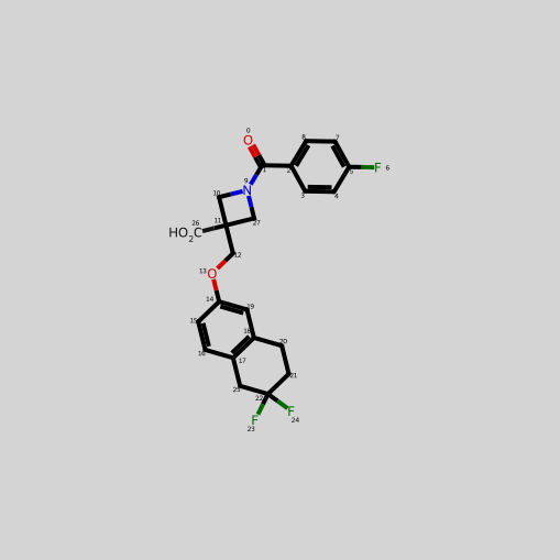 O=C(c1ccc(F)cc1)N1CC(COc2ccc3c(c2)CCC(F)(F)C3)(C(=O)O)C1